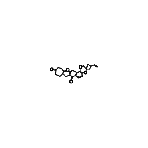 C=CC1CC2(COc3c(ccc4c3CC=C(CC3CCC(=O)CCC3=O)C4=O)O2)C1